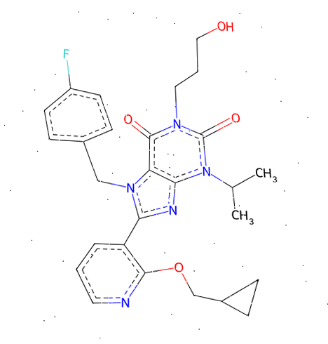 CC(C)n1c(=O)n(CCCO)c(=O)c2c1nc(-c1cccnc1OCC1CC1)n2Cc1ccc(F)cc1